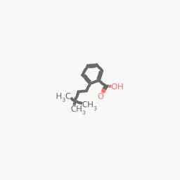 CC(C)(C)CCc1ccccc1C(=O)O